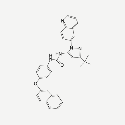 CC(C)(C)c1cc(NC(=O)Nc2ccc(Oc3ccc4ncccc4c3)cc2)n(-c2ccc3ncccc3c2)n1